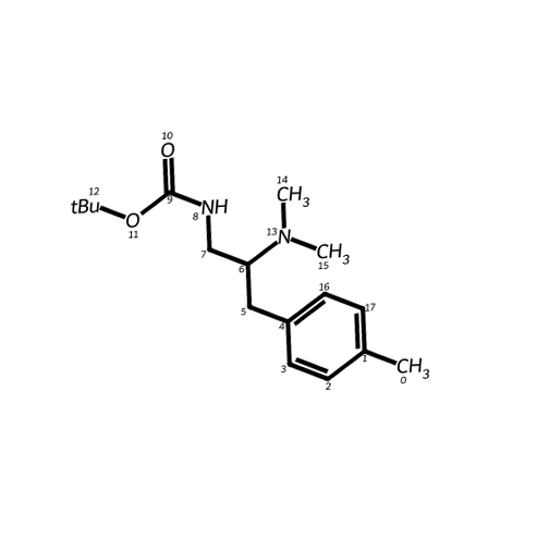 Cc1ccc(CC(CNC(=O)OC(C)(C)C)N(C)C)cc1